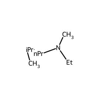 CCCN(C)CC.C[C](C)C